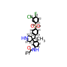 Cc1ccc(NC(=O)C(C)C)cc1C1(Cc2ccc(S(=O)(=O)c3ccc(F)c(Cl)c3)cc2)CCNCC1